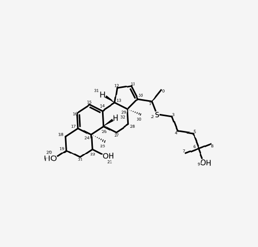 CC(SCCCC(C)(C)O)C1=CC[C@H]2C3=CC=C4CC(O)CC(O)[C@]4(C)[C@H]3CC[C@]12C